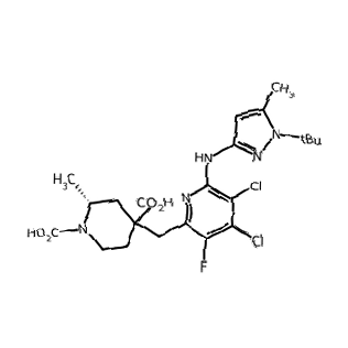 Cc1cc(Nc2nc(CC3(C(=O)O)CCN(C(=O)O)[C@H](C)C3)c(F)c(Cl)c2Cl)nn1C(C)(C)C